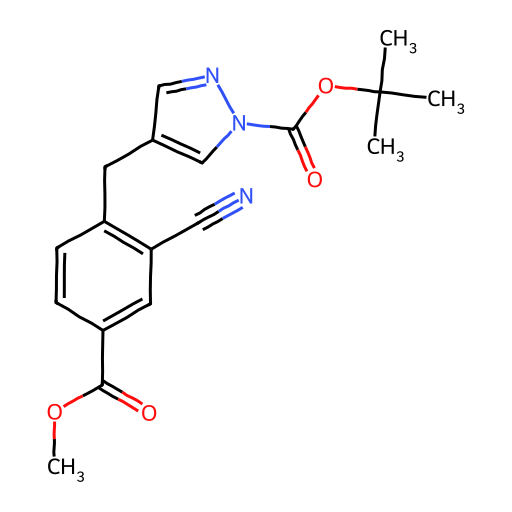 COC(=O)c1ccc(Cc2cnn(C(=O)OC(C)(C)C)c2)c(C#N)c1